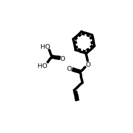 C=CCC(=O)Oc1ccccc1.O=C(O)O